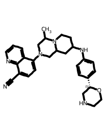 CC1CN(c2ccc(C#N)c3ncccc23)CC2CC(Nc3ccc([C@H]4CNCCO4)cc3)CCN12